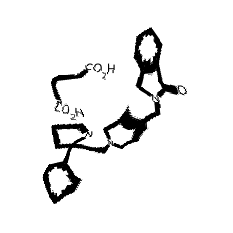 O=C(O)C=CC(=O)O.O=C1c2ccccc2CN1CC1CCN(CC2(c3ccccc3)C=CC=N2)CC1